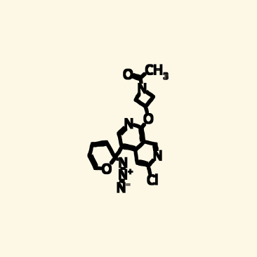 CC(=O)N1CC(Oc2ncc([C@]3(N=[N+]=[N-])C=CC=CO3)c3cc(Cl)ncc23)C1